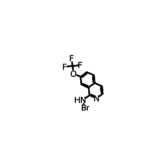 FC(F)(F)Oc1ccc2ccnc(NBr)c2c1